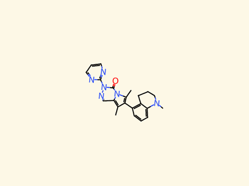 Cc1c(-c2cccc3c2CCCN3C)c(C)n2c(=O)n(-c3ncccn3)ncc12